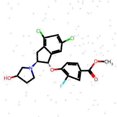 COC(=O)c1ccc(O[C@H]2c3cc(Cl)cc(Cl)c3C[C@@H]2N2CCC(O)C2)c(F)c1